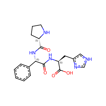 O=C(O)[C@H](Cc1c[nH]cn1)NC(=O)[C@@H](NC(=O)[C@@H]1CCCN1)c1ccccc1